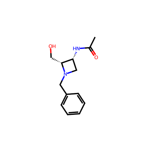 CC(=O)N[C@@H]1CN(Cc2ccccc2)[C@@H]1CO